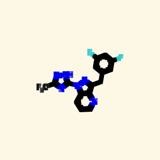 Fc1cc(F)cc(Cc2nn(-c3nc(C(F)(F)F)n[nH]3)c3cccnc23)c1